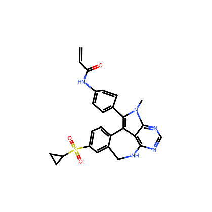 C=CC(=O)Nc1ccc(-c2c3c4c(ncnc4n2C)NCc2cc(S(=O)(=O)C4CC4)ccc2-3)cc1